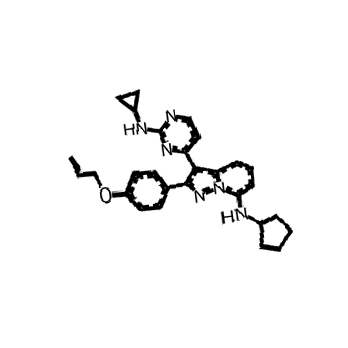 C=CCOc1ccc(-c2nn3c(NC4CCCC4)cccc3c2-c2ccnc(NC3CC3)n2)cc1